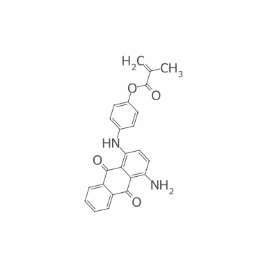 C=C(C)C(=O)Oc1ccc(Nc2ccc(N)c3c2C(=O)c2ccccc2C3=O)cc1